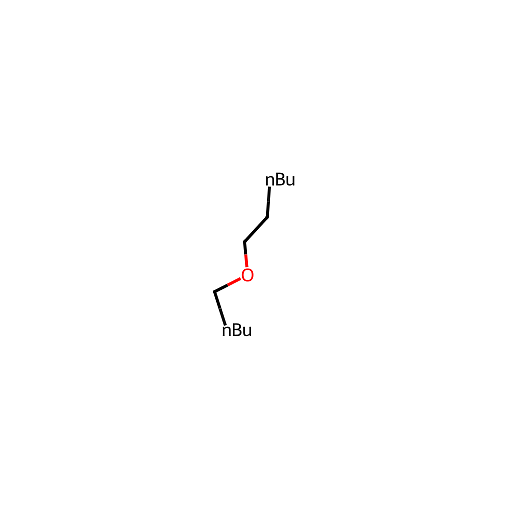 [CH2]CCCCCOCCCCC